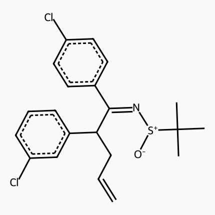 C=CCC(C(=N[S+]([O-])C(C)(C)C)c1ccc(Cl)cc1)c1cccc(Cl)c1